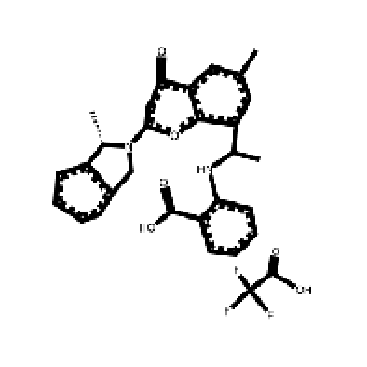 Cc1cc(C(C)Nc2ccccc2C(=O)O)c2oc(N3Cc4ccccc4[C@@H]3C)cc(=O)c2c1.O=C(O)C(F)(F)F